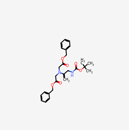 C=C(CNC(=O)OC(C)(C)C)N(CC(=O)OCc1ccccc1)CC(=O)OCc1ccccc1